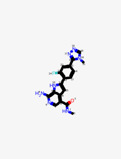 CNC(=O)c1cnc(N)c2[nH]c(-c3ccc(-c4nncn4C)cc3F)cc12